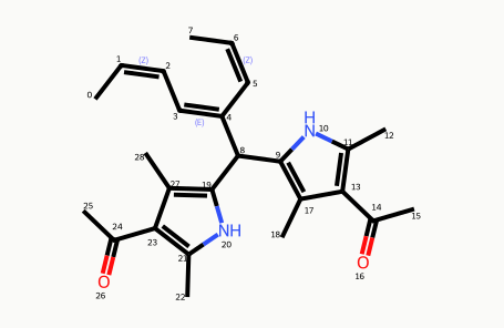 C\C=C/C=C(\C=C/C)C(c1[nH]c(C)c(C(C)=O)c1C)c1[nH]c(C)c(C(C)=O)c1C